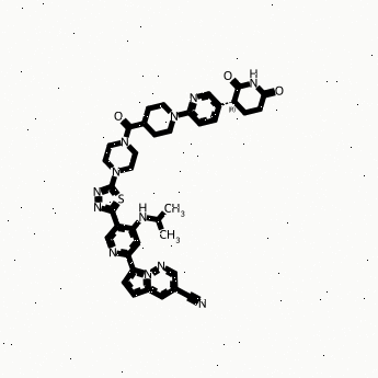 CC(C)Nc1cc(-c2ccc3cc(C#N)cnn23)ncc1-c1nnc(N2CCN(C(=O)C3CCN(c4ccc([C@H]5CCC(=O)NC5=O)cn4)CC3)CC2)s1